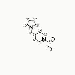 CCC(=O)N1CCC(CN2CCCC2)CC1